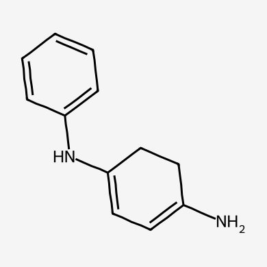 NC1=CC=C(Nc2ccccc2)CC1